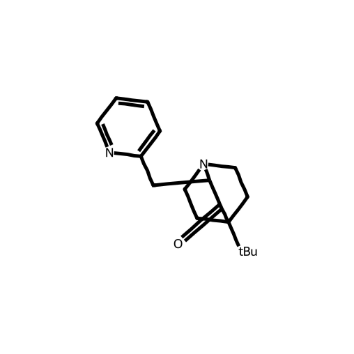 CC(C)(C)C12CCN(CC1)C(Cc1ccccn1)C2=O